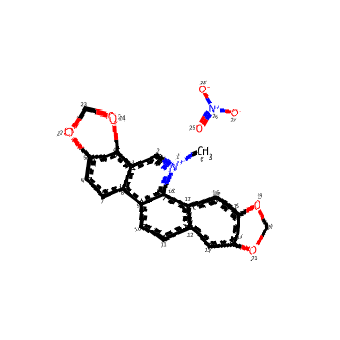 C[n+]1cc2c3c(ccc2c2ccc4cc5c(cc4c21)OCO5)OCO3.O=[N+]([O-])[O-]